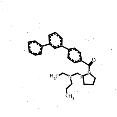 CCCN(CC)C[C@@H]1CCCN1C(=O)c1ccc(-c2cccc(-c3ccccc3)c2)cc1